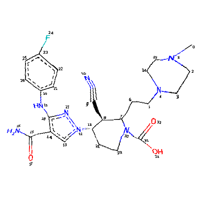 CN1CCN(CCC2[C@H](C#N)[C@@H](n3cc(C(N)=O)c(Nc4ccc(F)cc4)n3)CCN2C(=O)O)CC1